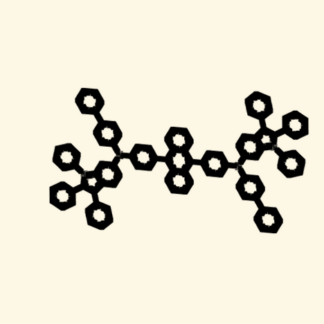 c1ccc(-c2ccc(N(c3ccc(-c4c5ccccc5c(-c5ccc(N(c6ccc(-c7ccccc7)cc6)c6ccc7c(-c8ccccc8)c(-c8ccccc8)n(-c8ccccc8)c7c6)cc5)c5ccccc45)cc3)c3ccc4c(-c5ccccc5)c(-c5ccccc5)n(-c5ccccc5)c4c3)cc2)cc1